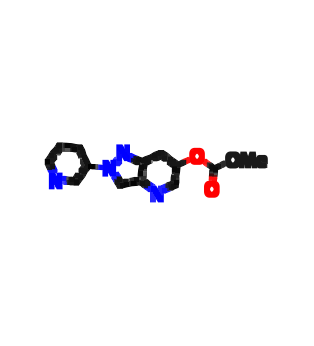 COC(=O)Oc1cnc2cn(-c3cccnc3)nc2c1